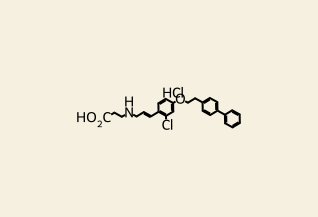 Cl.O=C(O)CCNCC=Cc1ccc(OCCc2ccc(-c3ccccc3)cc2)cc1Cl